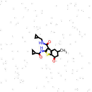 CC1CC(=O)c2sc(NC(=O)C3CC3)c(C(=O)NCC3CC3)c2C1